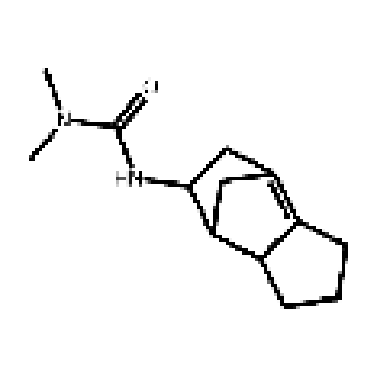 CN(C)C(=O)NC1CC2=C3CCCC3C1C2